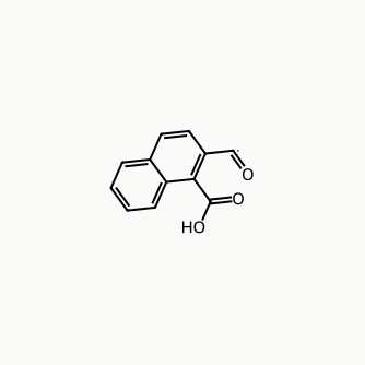 O=[C]c1ccc2ccccc2c1C(=O)O